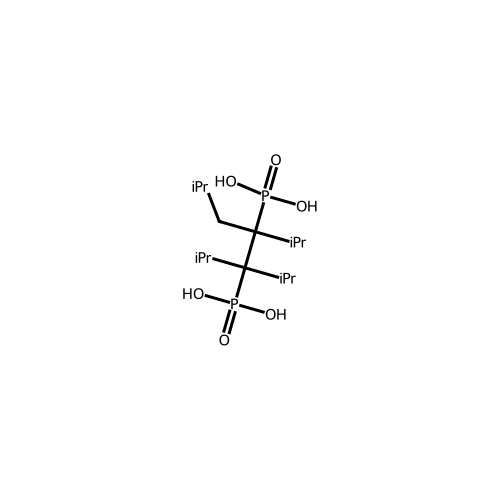 CC(C)CC(C(C)C)(C(C(C)C)(C(C)C)P(=O)(O)O)P(=O)(O)O